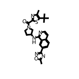 Cc1nc(-c2ccc3ccnc(NC4CCN(C(=O)c5nc(C)c(C(C)(C)C)s5)C4)c3c2)no1